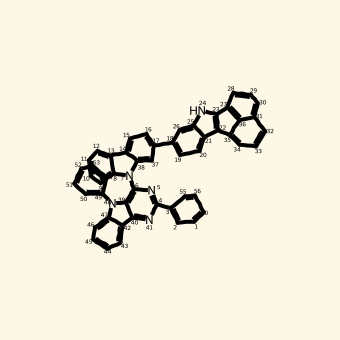 c1ccc(-c2nc(-n3c4ccccc4c4ccc(-c5ccc6c7c([nH]c6c5)-c5cccc6cccc-7c56)cc43)c3c(n2)c2ccccc2n3-c2ccccc2)cc1